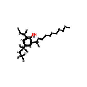 CCCCCCCCCCC(C)c1cc(C(C)(C)CC(C)(C)C)cc(C(C)CC)c1O